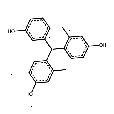 Cc1cc(O)ccc1C(c1cccc(O)c1)c1ccc(O)cc1C